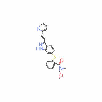 COCN(C)C(=O)c1ccccc1Sc1ccc2c(/C=C/c3ccccn3)n[nH]c2c1